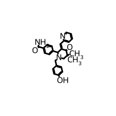 CC1(C)CN(Cc2ccc(O)cc2)C(c2ccc(C(N)=O)cc2)C(=Cc2ccccn2)C1=O